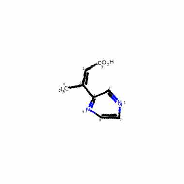 C/C(=C/C(=O)O)c1cnccn1